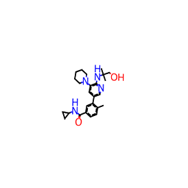 Cc1ccc(C(=O)NC2CC2)cc1-c1cnc(NC(C)(C)CO)c(N2CCCCC2)c1